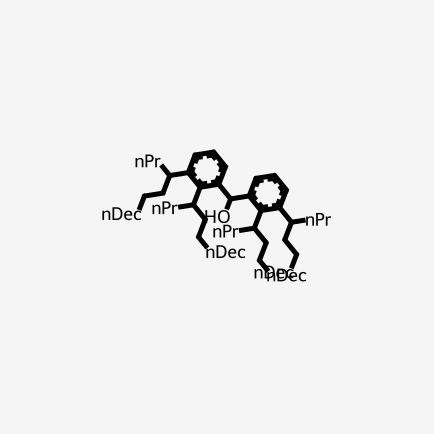 CCCCCCCCCCCCC(CCC)c1cccc(C(O)c2cccc(C(CCC)CCCCCCCCCCCC)c2C(CCC)CCCCCCCCCCCC)c1C(CCC)CCCCCCCCCCCC